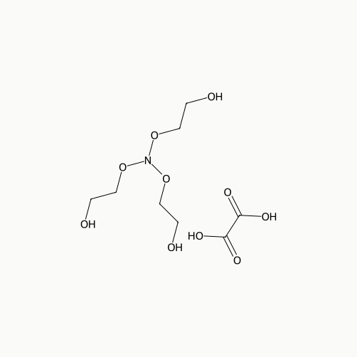 O=C(O)C(=O)O.OCCON(OCCO)OCCO